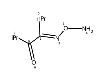 CCC/C(=N\ON)C(=O)C(C)C